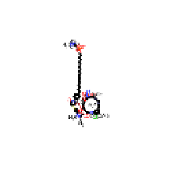 COc1cc2cc(c1Cl)N(C)C(=O)C[C@H](OC(=O)[C@H](C)N(C)C(=O)CCSC1CC(=O)N(c3ccc(CCCCCCCCCCCCCCCCCCOP(=O)([O-])OCC[N+](C)(C)C)cc3)C1=O)[C@@]1(C)OC1[C@H](C)[C@@H]1C[C@@](O)(NC(=O)O1)[C@H](OC)/C=C/C=C(\C)C2